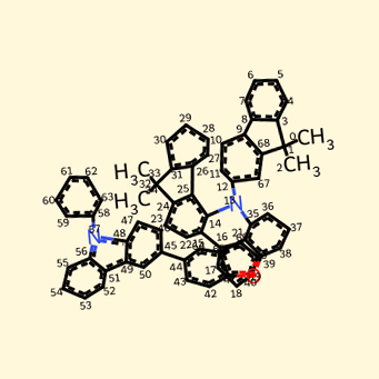 CC1(C)c2ccccc2-c2ccc(N(c3c(-c4ccccc4)ccc4c3-c3ccccc3C4(C)C)c3cccc4oc5ccc(-c6ccc7c(c6)c6ccccc6n7-c6ccccc6)cc5c34)cc21